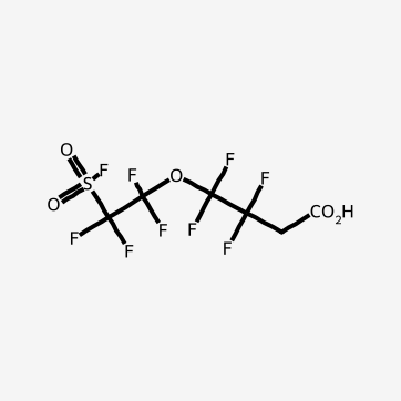 O=C(O)CC(F)(F)C(F)(F)OC(F)(F)C(F)(F)S(=O)(=O)F